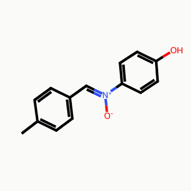 Cc1ccc(C=[N+]([O-])c2ccc(O)cc2)cc1